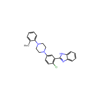 COc1ccccc1N1CCN(c2ccc(Cl)c(-c3nc4ccccc4[nH]3)c2)CC1